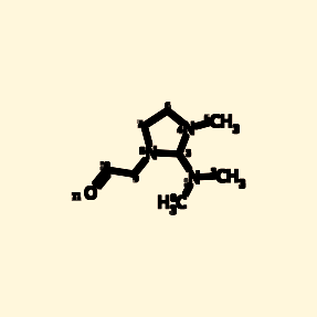 CN(C)C1N(C)CCN1CC=O